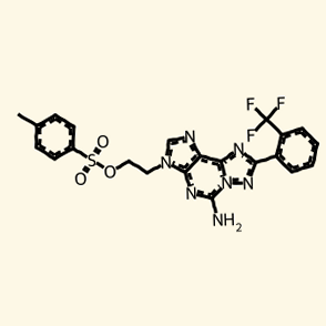 Cc1ccc(S(=O)(=O)OCCn2cnc3c2nc(N)n2nc(-c4ccccc4C(F)(F)F)nc32)cc1